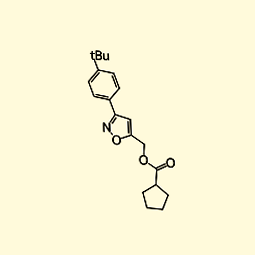 CC(C)(C)c1ccc(-c2cc(COC(=O)C3CCCC3)on2)cc1